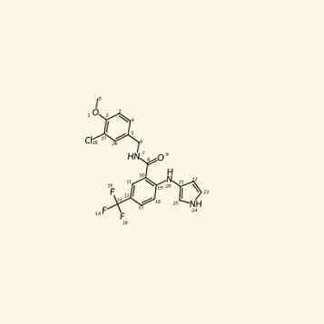 COc1ccc(CNC(=O)c2cc(C(F)(F)F)ccc2Nc2cc[nH]c2)cc1Cl